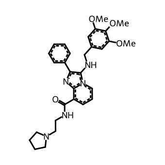 COc1cc(CNc2c(-c3ccccc3)nc3c(C(=O)NCCN4CCCC4)cccn23)cc(OC)c1OC